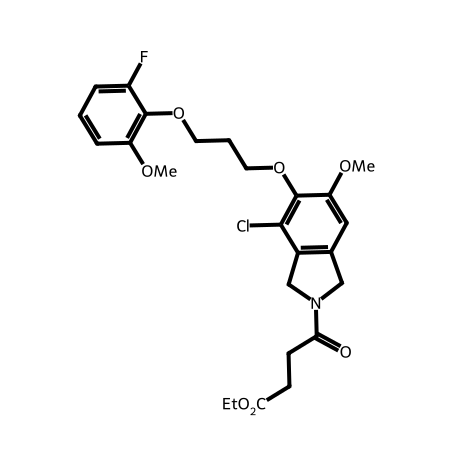 CCOC(=O)CCC(=O)N1Cc2cc(OC)c(OCCCOc3c(F)cccc3OC)c(Cl)c2C1